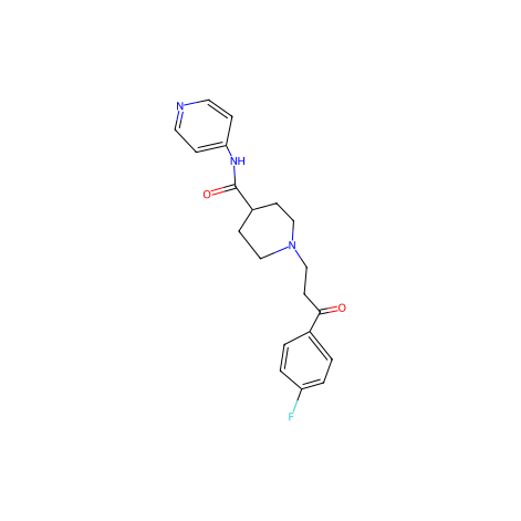 O=C(CCN1CCC(C(=O)Nc2ccncc2)CC1)c1ccc(F)cc1